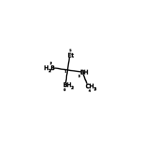 BC(B)(BC)CC